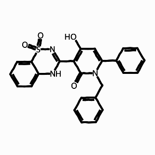 O=c1c(C2=NS(=O)(=O)c3ccccc3N2)c(O)cc(-c2ccccc2)n1Cc1ccccc1